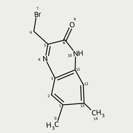 Cc1cc2nc(CBr)c(=O)[nH]c2cc1C